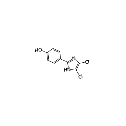 Oc1ccc(-c2nc(Cl)c(Cl)[nH]2)cc1